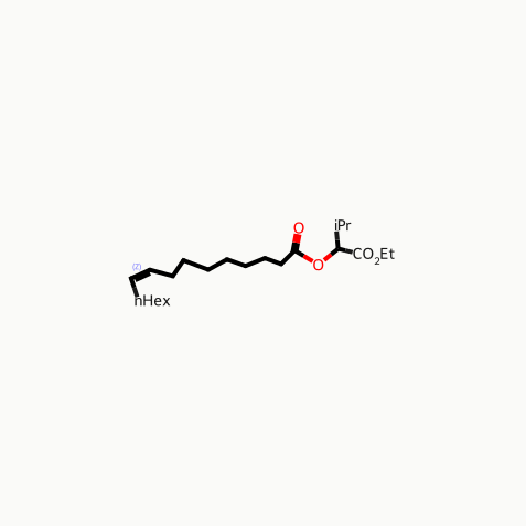 CCCCCC/C=C\CCCCCCCC(=O)OC(C(=O)OCC)C(C)C